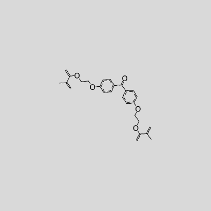 C=C(C)C(=C)OCCOc1ccc(C(=O)c2ccc(OCCOC(=C)C(=C)C)cc2)cc1